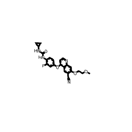 COCCOc1cc2nccc(Oc3ccc(NC(=O)NC4CC4)c(F)c3)c2cc1C#N